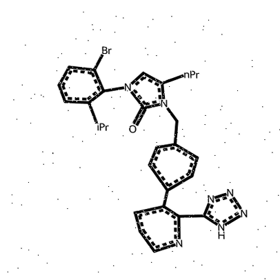 CCCc1cn(-c2c(Br)cccc2C(C)C)c(=O)n1Cc1ccc(-c2cccnc2-c2nnn[nH]2)cc1